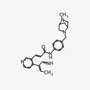 C/C=C(\C=N)c1ccncc1/C=C/C(=O)Nc1ccc(CN2CC3CC2CN3C)cc1